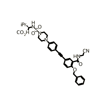 CC(C)[C@@H](NS(=O)(=O)N1CCN(c2ccc(C#Cc3ccc(OCc4ccccc4)c(C(=O)NCC#N)c3)cc2)CC1)C(=O)O